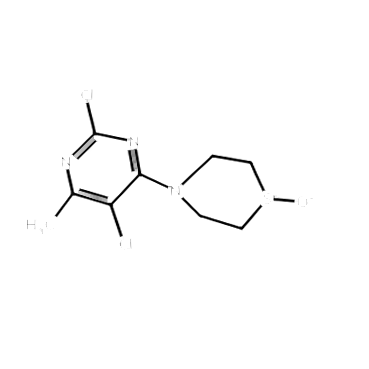 Cc1nc(Cl)nc(N2CC[S+]([O-])CC2)c1Cl